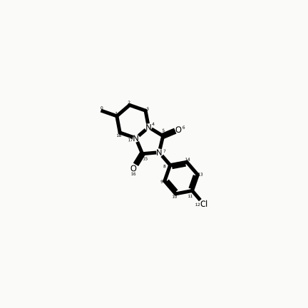 CC1CCn2c(=O)n(-c3ccc(Cl)cc3)c(=O)n2C1